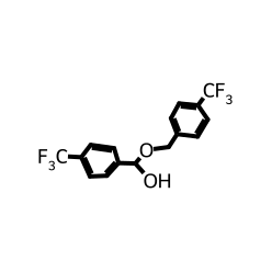 OC(OCc1ccc(C(F)(F)F)cc1)c1ccc(C(F)(F)F)cc1